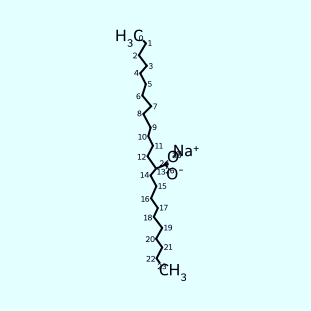 CCCCCCCCCCCCCC(CCCCCCCCCC)C(=O)[O-].[Na+]